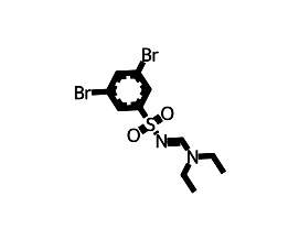 CCN(C=NS(=O)(=O)c1cc(Br)cc(Br)c1)CC